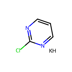 Clc1ncccn1.[KH]